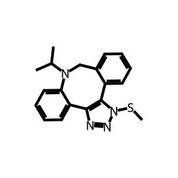 CSn1nnc2c1-c1ccccc1CN(C(C)C)c1ccccc1-2